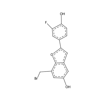 Oc1cc(CBr)c2oc(-c3ccc(O)c(F)c3)cc2c1